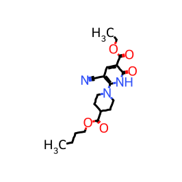 CCCCOC(=O)C1CCN(c2[nH]c(=O)c(C(=O)OCC)cc2C#N)CC1